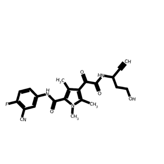 C#CC(CCO)NC(=O)C(=O)c1c(C)c(C(=O)Nc2ccc(F)c(C#N)c2)n(C)c1C